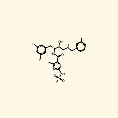 Cc1nc(NS(C)(=O)=O)oc1C(=O)N[C@@H](Cc1cc(F)cc(F)c1)[C@@H](O)CNCc1cccc(I)c1